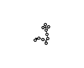 c1ccc(N(c2ccc(-c3ccc4sc5ccccc5c4c3)cc2)c2cccc(-c3ccc(-c4ccc5c(c4)-c4ccccc4C5(c4ccccc4)c4ccccc4)cc3)c2)cc1